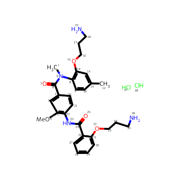 COc1cc(C(=O)N(C)c2ccc(C)cc2OCCCN)ccc1NC(=O)c1ccccc1OCCCN.Cl.Cl